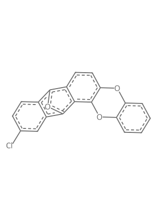 Clc1ccc2c(c1)c1oc2c2ccc3c(c21)Oc1ccccc1O3